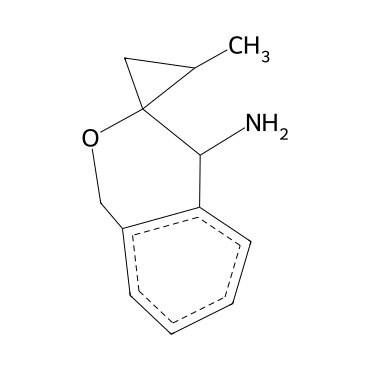 CC1CC12OCc1ccccc1C2N